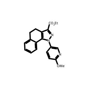 CCOC(=O)c1nn(-c2ccc(OC)nc2)c2c1CCc1ccccc1-2